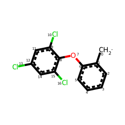 [CH2]c1ccccc1Oc1c(Cl)cc(Cl)cc1Cl